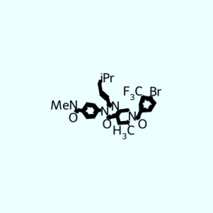 CNC(=O)c1ccc(-n2c(C#CCC(C)C)nc3c(c2=O)C[C@@H](C)N(C(=O)c2ccc(Br)c(C(F)(F)F)c2)C3)cc1